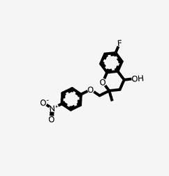 CC1(COc2ccc([N+](=O)[O-])cc2)CC(O)c2cc(F)ccc2O1